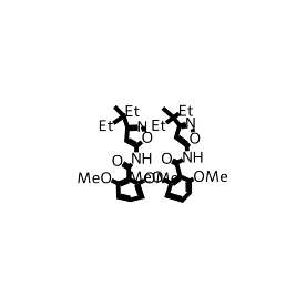 CCC(C)(CC)c1cc(NC(=O)c2c(OC)cccc2OC)on1.CCC(C)(CC)c1cc(NC(=O)c2c(OC)cccc2OC)on1